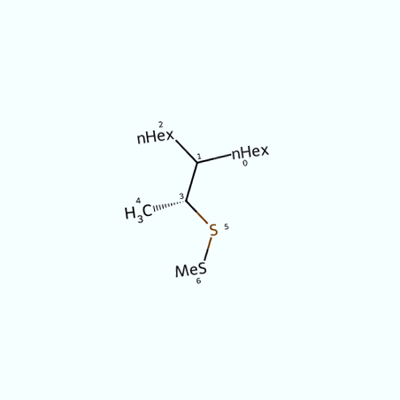 CCCCCCC(CCCCCC)[C@@H](C)SSC